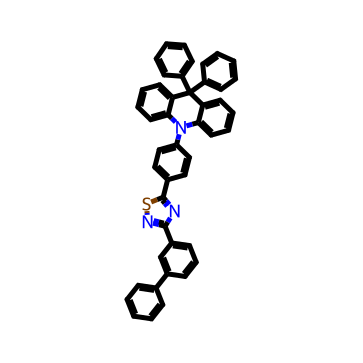 c1ccc(-c2cccc(-c3nsc(-c4ccc(N5c6ccccc6C(c6ccccc6)(c6ccccc6)c6ccccc65)cc4)n3)c2)cc1